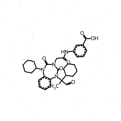 CC(C=O)(C1CCCCC1)N1C(=O)N(CC(=O)Nc2cccc(C(=O)O)c2)C(=O)N(C2CCCCC2)c2ccccc21